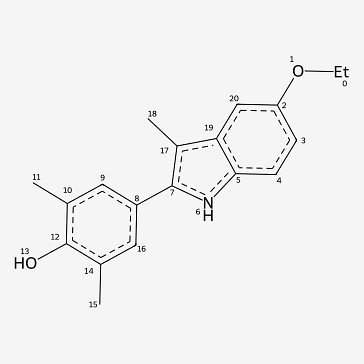 CCOc1ccc2[nH]c(-c3cc(C)c(O)c(C)c3)c(C)c2c1